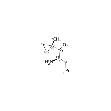 CC(C)C[C@@H](N)C(=O)[C@@]1(C)CO1